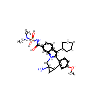 COc1ccc2c(c1)C1CC1(N)Cn1c-2c(C2CCCCC2)c2ccc(C(=O)NS(=O)(=O)N(C)C)cc21